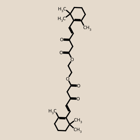 CC1=C(/C=C/C(=O)CC(=O)OCCOC(=O)CC(=O)/C=C/C2=C(C)CCCC2(C)C)C(C)(C)CCC1